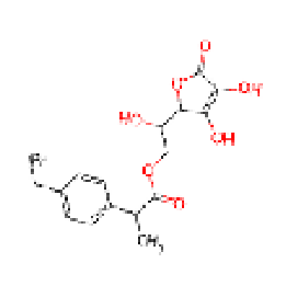 CC(C)Cc1ccc(C(C)C(=O)OCC(O)C2OC(=O)C(O)=C2O)cc1